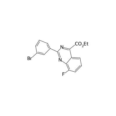 CCOC(=O)c1nc(-c2cccc(Br)c2)nc2c(F)cccc12